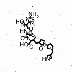 Nc1nc(C(=NO)C(=O)N[C@@H]2C(=O)N3C(C(=O)O)=C(C=C4CCN(C5CCN(CC6CNC6)C5)C4=O)CS[C@H]23)ns1